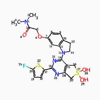 CN(C)C(=O)COc1ccc2c(c1)N(c1nc(-c3ccc(F)s3)nc3c1CS(O)(O)C3)CC2